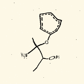 CC(O)C(C)(N)Oc1ccccc1